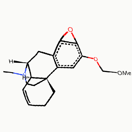 COCOc1cc2c(c3c1O3)C[C@@H]1[C@@H]3C=CCC[C@]23CCN1C